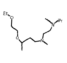 CCOCCOC(C)CCN(C)CCN(C)C(C)C